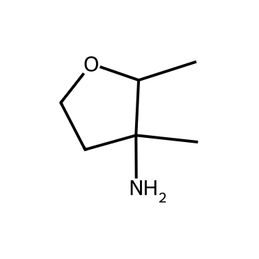 CC1OCCC1(C)N